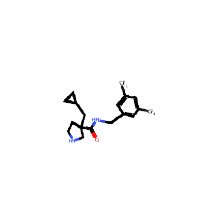 O=C(NCc1cc(C(F)(F)F)cc(C(F)(F)F)c1)C1(CC2CC2)CCNC1